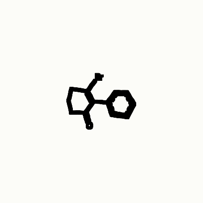 O=C1CCCC(Br)=C1c1ccccc1